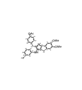 COc1cc2c(cc1OC)-c1nn(Cc3ccc(OC(C)=O)cc3)c(Nc3cccc(F)c3)c1C2